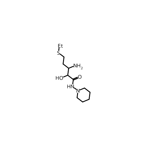 CCSCCC(N)C(O)C(=O)NN1CCCCC1